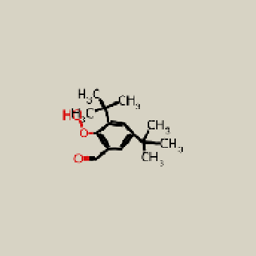 CC(C)(C)c1cc(C=O)c(OO)c(C(C)(C)C)c1